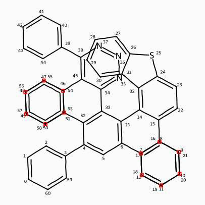 c1ccc(-c2cc(-c3ccccc3)c(-c3c(-c4ccccc4)ccc4sc5ccccc5c34)c(-c3nnnc(-c4ccccc4)c3-c3ccccc3)c2-c2ccccc2)cc1